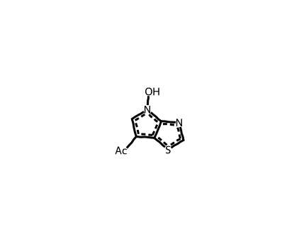 CC(=O)c1cn(O)c2ncsc12